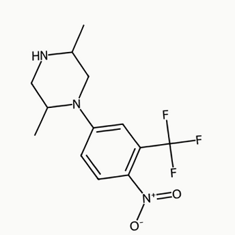 CC1CN(c2ccc([N+](=O)[O-])c(C(F)(F)F)c2)C(C)CN1